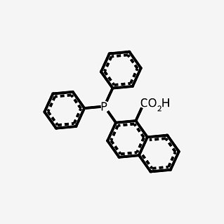 O=C(O)c1c(P(c2ccccc2)c2ccccc2)ccc2ccccc12